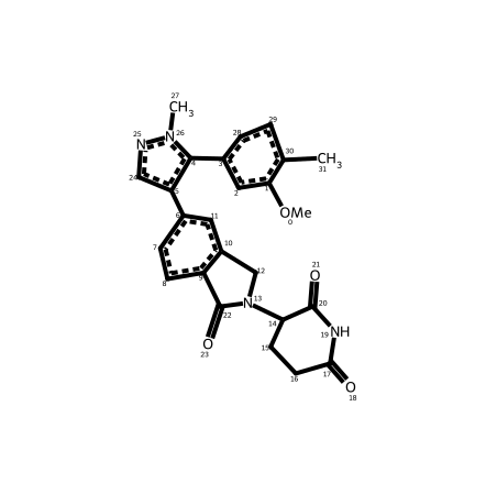 COc1cc(-c2c(-c3ccc4c(c3)CN(C3CCC(=O)NC3=O)C4=O)cnn2C)ccc1C